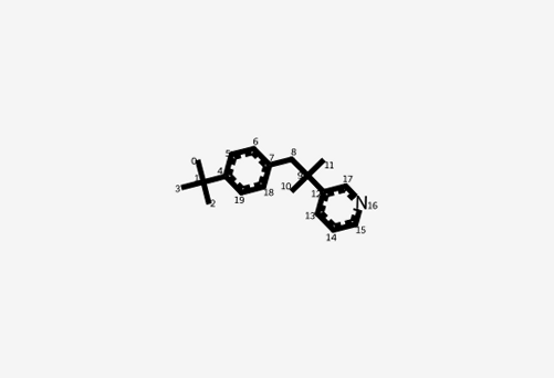 CC(C)(C)c1ccc(CC(C)(C)c2cccnc2)cc1